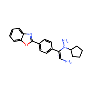 N/C=C(/c1ccc(-c2nc3ccccc3o2)cc1)N(N)C1CCCC1